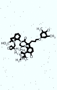 Cc1cc(OCCCc2c3n(c4c(-c5c(C)nn(C)c5C)c(Cl)ccc24)[C@H](C)CN(c2cccc4cc(C(=O)O)n(CC5(C)COC5)c24)C3=O)cc(C)c1Cl